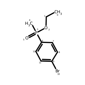 CCOP(C)(=O)c1ccc(Br)cc1